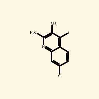 Cc1nc2cc(Cl)ccc2c(I)c1C